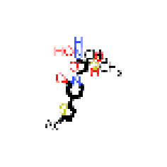 CC(=O)c1ccc(-c2ccn(CCC(C)(C(=O)NO)S(C)(=O)=O)c(=O)c2)s1